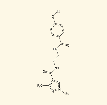 CCOc1ccc(C(=O)NCCNC(=O)c2cn(C(C)CC)nc2C(F)(F)F)cc1